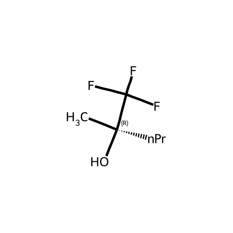 CCC[C@@](C)(O)C(F)(F)F